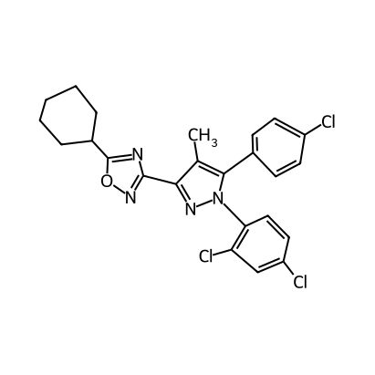 Cc1c(-c2noc(C3CCCCC3)n2)nn(-c2ccc(Cl)cc2Cl)c1-c1ccc(Cl)cc1